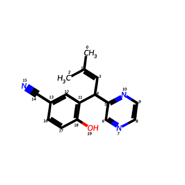 CC(C)=CC(c1cnccn1)c1cc(C#N)ccc1O